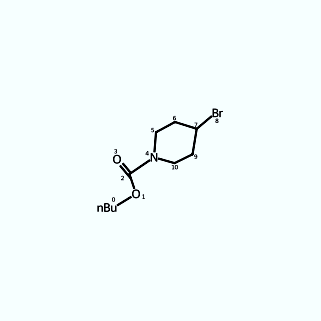 CCCCOC(=O)N1CCC(Br)CC1